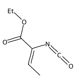 CC=C(N=C=O)C(=O)OCC